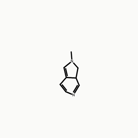 CN1C=C2C=CN=CC2C1